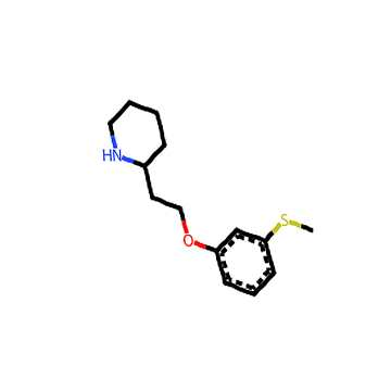 CSc1cccc(OCCC2CCCCN2)c1